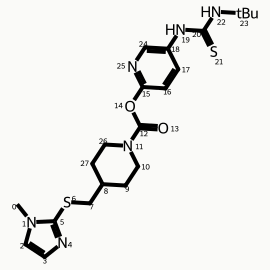 Cn1ccnc1SCC1CCN(C(=O)Oc2ccc(NC(=S)NC(C)(C)C)cn2)CC1